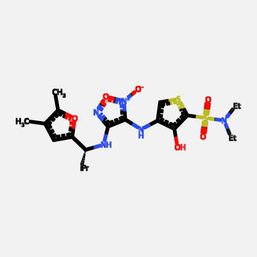 CCN(CC)S(=O)(=O)c1scc(Nc2c(N[C@@H](c3cc(C)c(C)o3)C(C)C)no[n+]2[O-])c1O